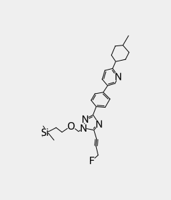 CC1CCC(c2ccc(-c3ccc(-c4nc(C#CCF)n(COCC[Si](C)(C)C)n4)cc3)cn2)CC1